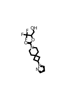 O=C(OC(CO)C(F)(F)F)N1CCC2(CC1)CC(n1cccn1)C2